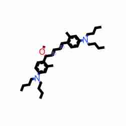 CCCCN(CCCC)c1ccc(/C=C/C=C/C(OC)c2ccc(N(CCCC)CCCC)cc2C)c(C)c1